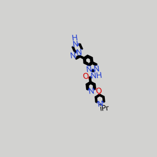 CC(C)N1CCC(Oc2cc(C(=O)Nc3ncc4ccc(-c5cnc6n5CCNC6)cc4n3)ccn2)CC1